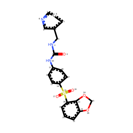 O=C(NCc1cccnc1)Nc1ccc(S(=O)(=O)c2cccc3c2OCO3)cc1